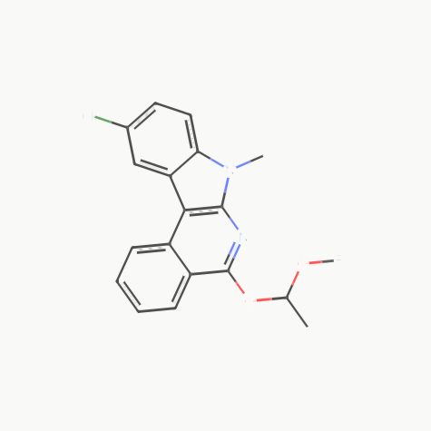 CCOC(C)Oc1nc2c(c3ccccc13)c1cc(Cl)ccc1n2C